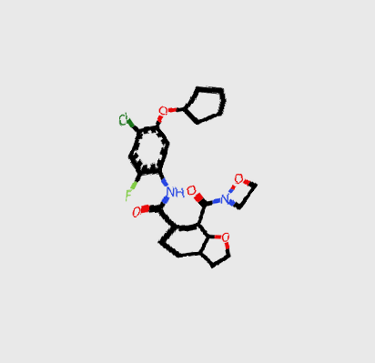 O=C(Nc1cc(OC2CCCC2)c(Cl)cc1F)C1=C(C(=O)N2CCO2)C2OCCC2CC1